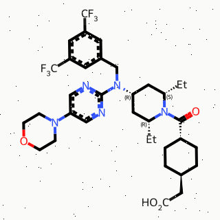 CC[C@@H]1C[C@H](N(Cc2cc(C(F)(F)F)cc(C(F)(F)F)c2)c2ncc(N3CCOCC3)cn2)C[C@H](CC)N1C(=O)[C@H]1CC[C@H](CC(=O)O)CC1